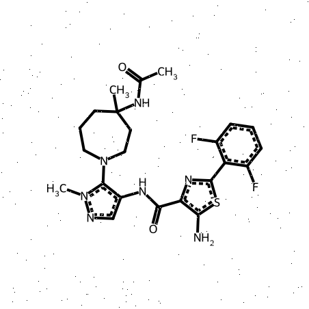 CC(=O)NC1(C)CCCN(c2c(NC(=O)c3nc(-c4c(F)cccc4F)sc3N)cnn2C)CC1